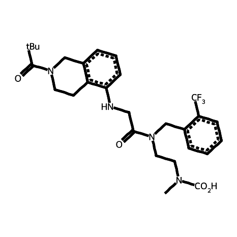 CN(CCN(Cc1ccccc1C(F)(F)F)C(=O)CNc1cccc2c1CCN(C(=O)C(C)(C)C)C2)C(=O)O